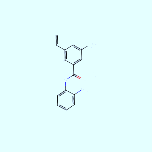 C=Cc1cc(OC)cc(C(=O)Nc2ccccc2N)c1.Cl